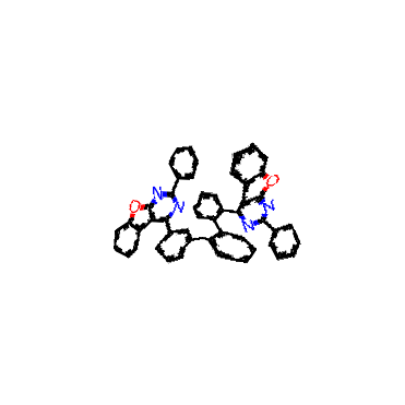 c1ccc(-c2nc(-c3cccc(-c4ccccc4-c4ccccc4-c4nc(-c5ccccc5)nc5oc6ccccc6c45)c3)c3c(n2)oc2ccccc23)cc1